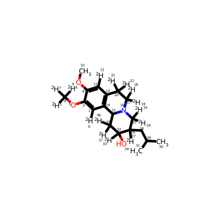 [2H]c1c(OC([2H])([2H])[2H])c(OC)c([2H])c2c1C1N(C([2H])([2H])C2([2H])[2H])C([2H])([2H])C([2H])(CC(C)C)C([2H])(O)C1([2H])[2H]